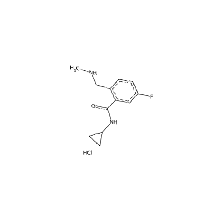 CNCc1ccc(F)cc1C(=O)NC1CC1.Cl